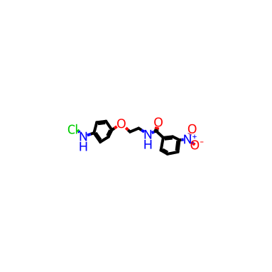 O=C(NCCOc1ccc(NCl)cc1)c1cccc([N+](=O)[O-])c1